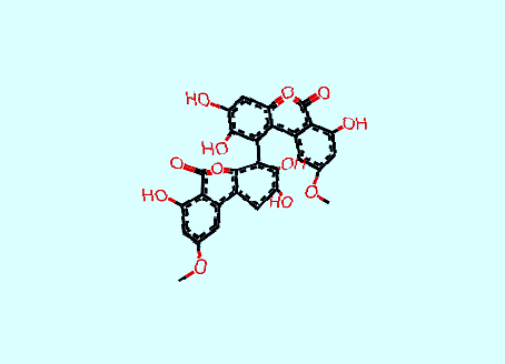 COc1cc(O)c2c(=O)oc3c(-c4c(O)c(O)cc5oc(=O)c6c(O)cc(OC)cc6c45)c(O)c(O)cc3c2c1